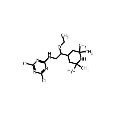 CCOC(CNc1nc(Cl)nc(Cl)n1)C1CC(C)(C)NC(C)(C)C1